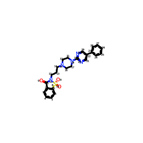 O=C1c2ccccc2S(=O)(=O)N1CCCN1CCN(c2ncc(-c3ccccc3)cn2)CC1